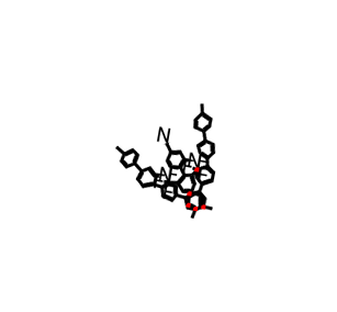 Cc1ccc(-c2ccc3c4ccc(-c5ccc(C)cc5)cc4n(-c4cc(C#N)cc(-n5c6cc(-c7ccc(C)cc7)ccc6c6ccc(-c7ccc(C)cc7)cc65)c4-c4c(C(F)(F)F)cccc4C(F)(F)F)c3c2)cc1